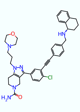 NC(=O)N1CCc2c(c(-c3ccc(Cl)c(C#Cc4ccc(CN[C@@H]5CCCc6ccccc65)cc4)c3)nn2CCCN2CCOCC2)C1